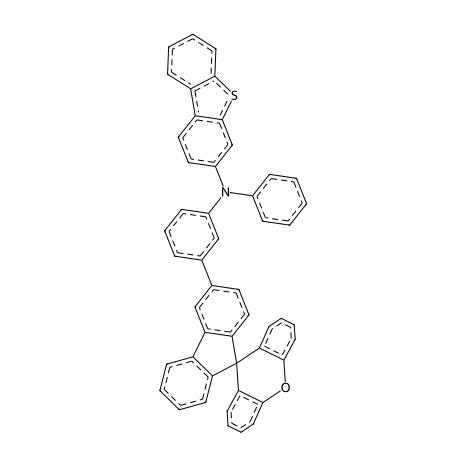 c1ccc(N(c2cccc(-c3ccc4c(c3)-c3ccccc3C43c4ccccc4Oc4ccccc43)c2)c2ccc3c(c2)sc2ccccc23)cc1